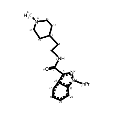 CCCn1nc(C(=O)NCCC2CCN(C)CC2)c2ccccc21